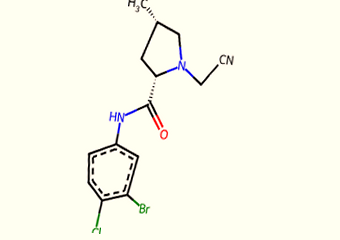 C[C@H]1C[C@@H](C(=O)Nc2ccc(Cl)c(Br)c2)N(CC#N)C1